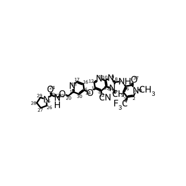 Cn1cc(C(F)(F)F)cc(Nc2nc3ncc(Oc4ccnc(CONC(=O)N5CCCC5)c4)c(C#N)c3n2C)c1=O